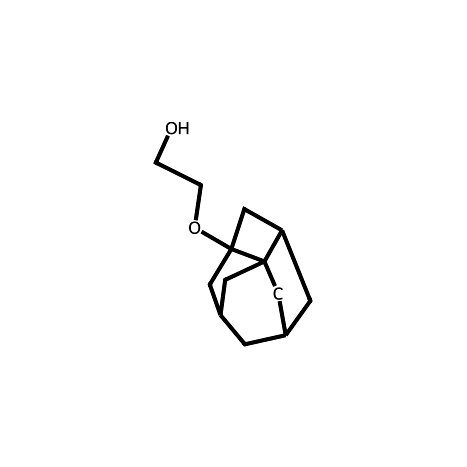 OCCOC12CC3CC4CC(C1)C2(C4)C3